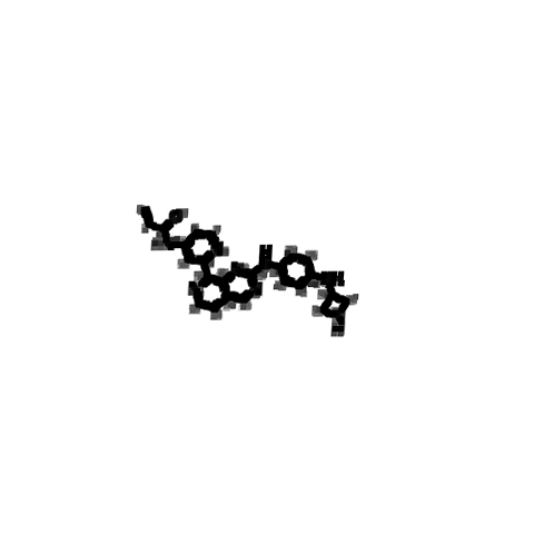 C=CC(=O)Nc1ccnc(-c2nccc3cnc(Nc4ccc(NC5CNC5)cc4)nc23)c1